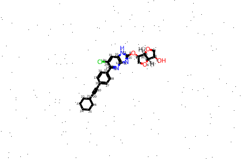 O[C@@H]1CO[C@H]2[C@@H]1OC[C@H]2Oc1nc2nc(-c3ccc(C#CC4CCCCC4)cc3)c(Cl)cc2[nH]1